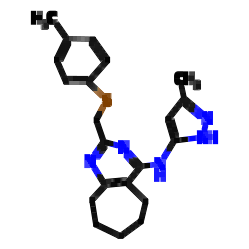 Cc1ccc(SCc2nc3c(c(Nc4cc(C)n[nH]4)n2)CCCCC3)cc1